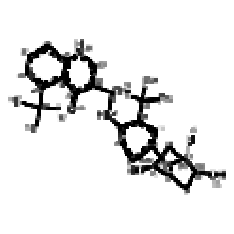 O=C(Nc1ccc(N2C3C[C@H](O)[C@@H]2C[C@@H]3O)cc1C(F)(F)F)c1c[nH]c2cccc(C(F)(F)F)c2c1=O